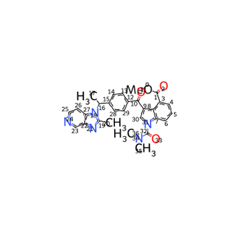 COC(=O)c1cccc2c1c(C(=O)c1ccc(C(C)n3c(C)nc4cnccc43)cc1)cn2C(=O)N(C)C